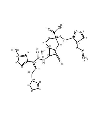 C=CCn1nnnc1SCC1(C(=O)O)CS[C@@H]2C(NC(=O)C(=NOC3C=CCC3)c3csc(N)n3)C(=O)N2C1